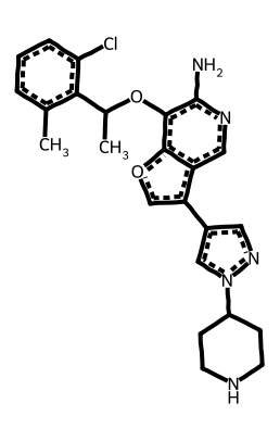 Cc1cccc(Cl)c1C(C)Oc1c(N)ncc2c(-c3cnn(C4CCNCC4)c3)coc12